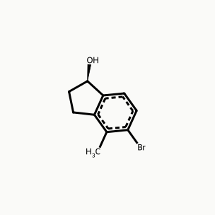 Cc1c(Br)ccc2c1CC[C@H]2O